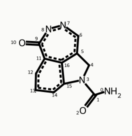 NC(=O)N1Cc2cnnc(=O)c3c[c]cc1c23